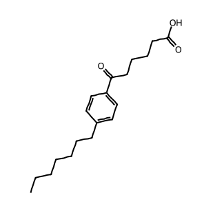 CCCCCCCc1ccc(C(=O)CCCCC(=O)O)cc1